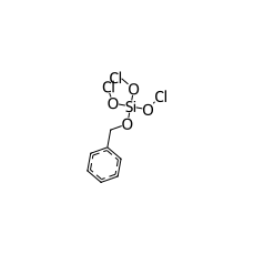 ClO[Si](OCl)(OCl)OCc1ccccc1